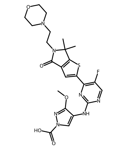 COc1nn(C(=O)O)cc1Nc1ncc(F)c(-c2cc3c(s2)C(C)(C)N(CCN2CCOCC2)C3=O)n1